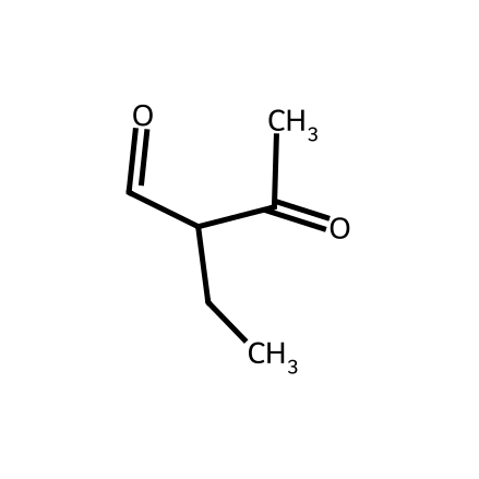 CCC(C=O)C(C)=O